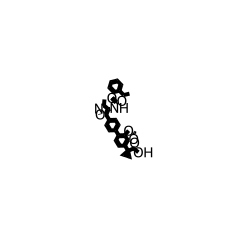 Cc1noc(-c2ccc(-c3ccc(C4(C(=O)O)CC4)c4c3OCO4)cc2)c1NC(=O)OC(C)c1ccccc1